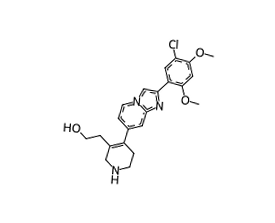 COc1cc(OC)c(-c2cn3ccc(C4=C(CCO)CNCC4)cc3n2)cc1Cl